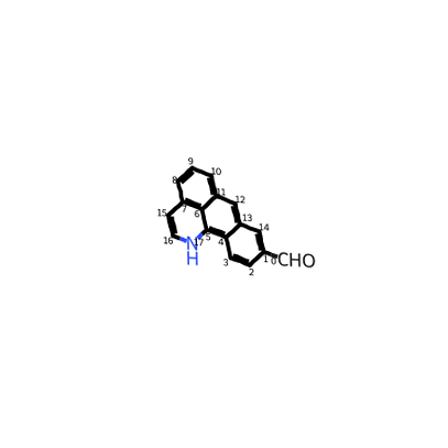 O=Cc1ccc2c3c4c(cccc4cc2c1)C=CN3